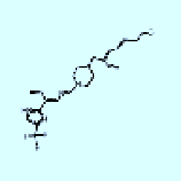 C=C/C(=C\C=C\CCO)CC1CCN(/C=N/C=C(\C=C)c2nc(C(F)(F)F)c[nH]2)CC1